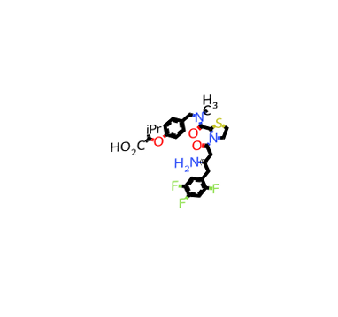 CC(C)C(Oc1ccc(CN(C)C(=O)C2SCCN2C(=O)C[C@H](N)Cc2cc(F)c(F)cc2F)cc1)C(=O)O